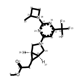 COC(=O)CC1[C@H]2CN(c3cc(C(F)(F)F)nc(N4CCC4C)n3)C[C@@H]12